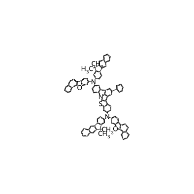 CC1(C)c2cc(N(c3ccc4c(c3)oc3c5ccccc5ccc43)c3ccc4c(c3)sc3c4c4cc(-c5ccccc5)cc5c6cc(N(c7ccc8c(c7)C(C)(C)c7cc9ccccc9cc7-8)c7ccc8c(c7)oc7c9ccccc9ccc87)ccc6n3c54)ccc2-c2cc3ccccc3cc21